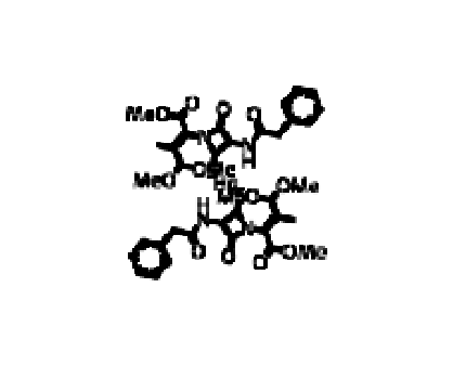 COC(=O)C(=C(C)C(OC)OC)N1C(=O)C(NC(=O)Cc2ccccc2)C1[S][Hg][S]C1C(NC(=O)Cc2ccccc2)C(=O)N1C(C(=O)OC)=C(C)C(OC)OC